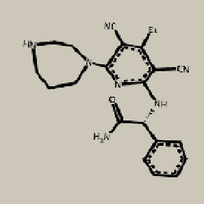 CCc1c(C#N)c(N[C@@H](C(N)=O)c2ccccc2)nc(N2CCCNCC2)c1C#N